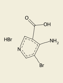 Br.Nc1c(Br)cncc1C(=O)O